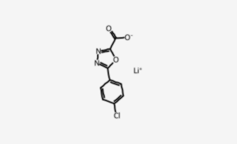 O=C([O-])c1nnc(-c2ccc(Cl)cc2)o1.[Li+]